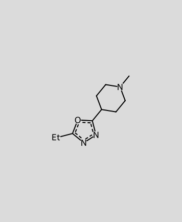 CCc1nnc(C2CCN(C)CC2)o1